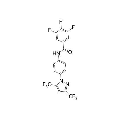 O=C(Nc1ccc(-n2nc(C(F)(F)F)cc2C(F)(F)F)cc1)c1cc(F)c(F)c(F)c1